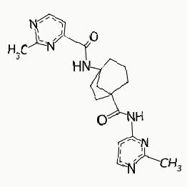 Cc1nccc(NC(=O)C23CCCC(NC(=O)c4ccnc(C)n4)(CC2)C3)n1